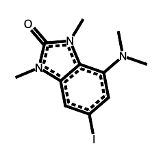 CN(C)c1cc(I)cc2c1n(C)c(=O)n2C